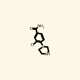 NC(=O)c1ccc(N2CCNCC2)c(Cl)c1